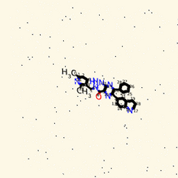 Cc1ccc(CNC(=O)c2nc(-c3ccc4ncccc4c3)c(-c3ccccc3)nc2N)c(C)n1